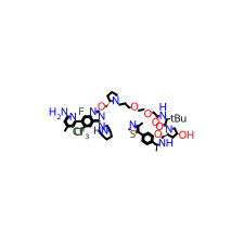 Cc1cc(N)nc(-c2c(Cl)cc3c(N4CC5CCC(C4)N5)nc(OC[C@@H]4CCCN4CCCOCCOCC(=O)N[C@H](C(=O)N4C[C@H](O)C[C@H]4C(=O)N[C@@H](C)c4ccc(-c5scnc5C)cc4)C(C)(C)C)nc3c2F)c1C(F)(F)F